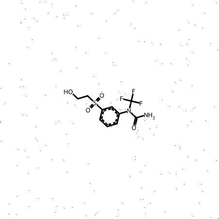 NC(=O)N(c1cccc(S(=O)(=O)CCO)c1)C(F)(F)F